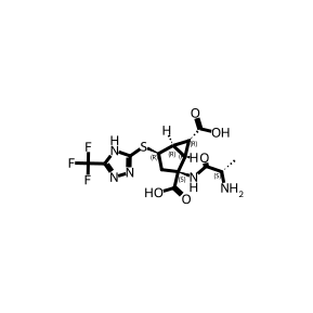 C[C@H](N)C(=O)N[C@@]1(C(=O)O)C[C@@H](Sc2nnc(C(F)(F)F)[nH]2)[C@H]2[C@H](C(=O)O)[C@H]21